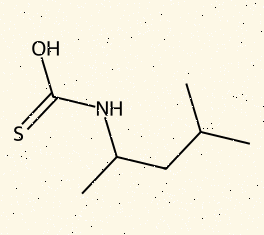 CC(C)CC(C)NC(O)=S